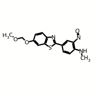 CNc1ccc(-c2nc3ccc(OCOC)cc3s2)cc1N=O